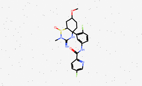 COC1CCC2(c3cc(NC(=O)c4ccc(F)cn4)ccc3F)NC(=N)N(C)[S+]([O-])C2C1